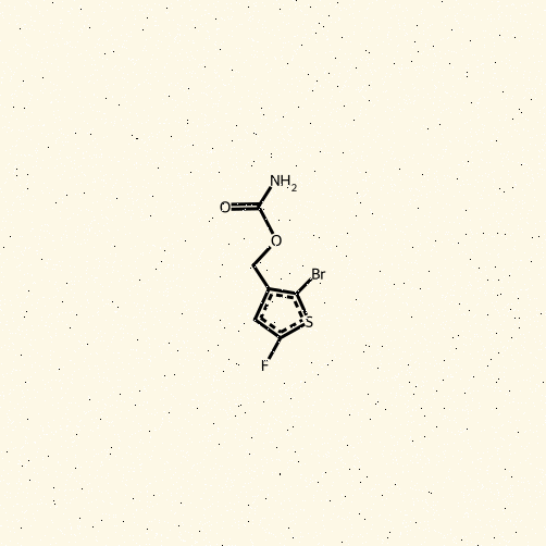 NC(=O)OCc1cc(F)sc1Br